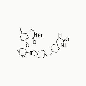 CCN(C(=O)c1cc(F)ccc1Oc1cncnc1N1CC2(CCN(CC3CCC4(CC3)CNC(=O)N4)CC2)C1)C(C)C